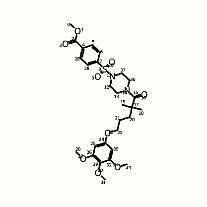 COC(=O)c1ccc(S(=O)(=O)N2CCN(C(=O)C(C)(C)CCCOc3cc(OC)c(OC)c(OC)c3)CC2)cc1